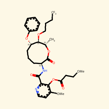 COCCC(=O)Oc1c(OC)ccnc1C(=O)N[C@H]1CCC[C@H](Oc2ccccc2)[C@@H](OCCCC(F)(F)F)[C@H](C)OC1=O